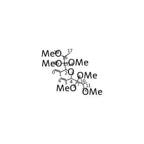 C=CC(OC(C=C)C(OC)(OC)C(C)OC)C(OC)(OC)C(C)OC